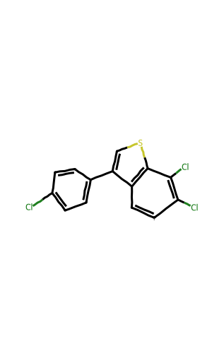 Clc1ccc(-c2csc3c(Cl)c(Cl)[c]cc23)cc1